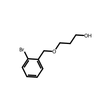 OCCCOCc1ccccc1Br